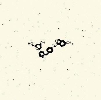 Cc1ccc2c(c1)CO[C@H]2COc1ccc(Cc2cc([C@H]3C[C@@H](O)C[C@@H](CO)O3)ccc2Cl)cc1